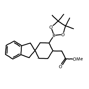 COC(=O)CC1C[CH]C2(Cc3ccccc3C2)CC1B1OC(C)(C)C(C)(C)O1